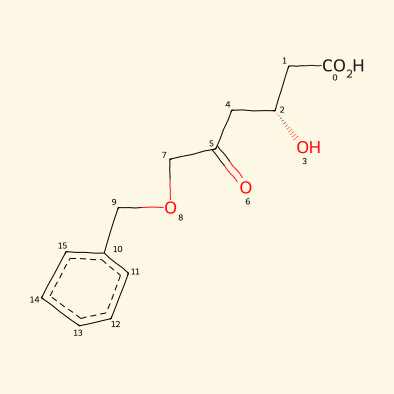 O=C(O)C[C@H](O)CC(=O)COCc1ccccc1